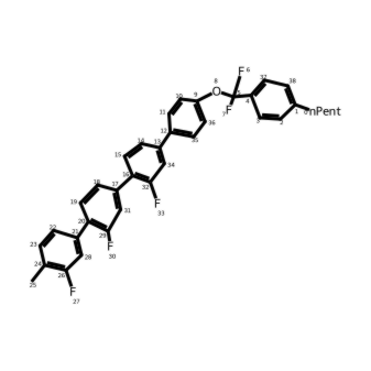 CCCCCc1ccc(C(F)(F)Oc2ccc(-c3ccc(-c4ccc(-c5ccc(C)c(F)c5)c(F)c4)c(F)c3)cc2)cc1